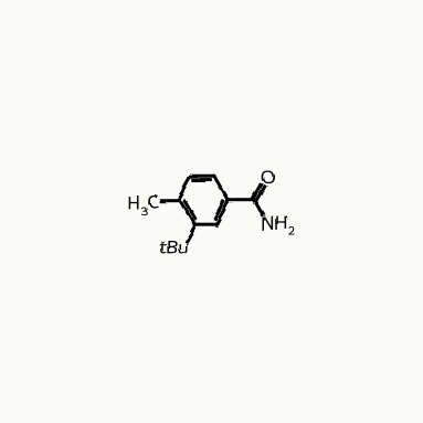 Cc1ccc(C(N)=O)cc1C(C)(C)C